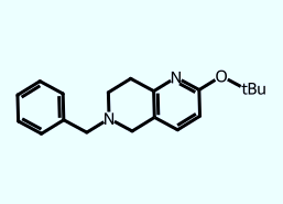 CC(C)(C)Oc1ccc2c(n1)CCN(Cc1ccccc1)C2